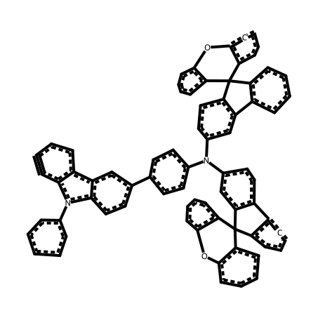 c1ccc2c3cc(-c4ccc(N(c5ccc6c(c5)-c5ccccc5C65c6ccccc6Oc6ccccc65)c5ccc6c(c5)C5(c7ccccc7Oc7ccccc75)c5ccccc5-6)cc4)ccc3n(-c3ccccc3)c2c#1